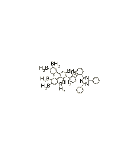 Bc1cc2c(cc1B)c1c(B)c(B)cc(B)c1c1c(B)c(-c3cccc4c3oc3cccc(-c5nc(-c6ccccc6)nc(-c6ccccc6)n5)c34)c(B)cc21